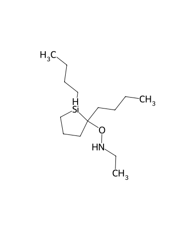 CCCC[SiH]1CCCC1(CCCC)ONCC